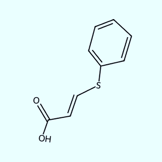 O=C(O)C=CSc1ccccc1